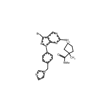 CNC(=O)C1(C)CC[C@@H](Nc2ncc3c(Br)nn(-c4ccc(Cn5ccnc5)cc4)c3n2)C1